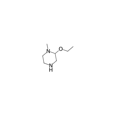 CCOC1CNCCN1C